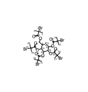 CC(C)(Br)C(=O)OCC1SC(OC(=O)C(C)(C)Br)C(OC(=O)C(C)(C)Br)C(OC(=O)C(C)(C)Br)C1OC(=O)C(C)(C)Br